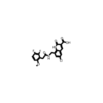 COc1ccc(F)c(F)c1CC(=O)NCc1cc(Cl)cc2cc(C(=O)O)c(=O)[nH]c12